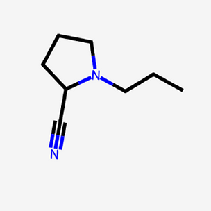 CCCN1CCCC1C#N